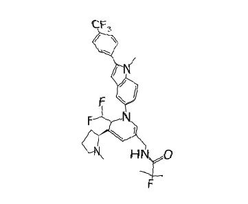 CN1CCC[C@H]1C1=CC(CNC(=O)C(C)(C)F)=CN(c2ccc3c(c2)cc(-c2ccc(C(F)(F)F)cc2)n3C)C1C(F)F